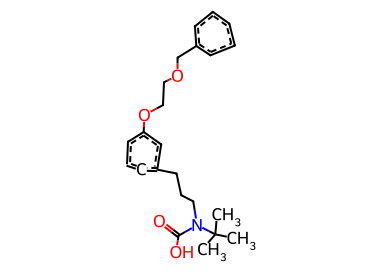 CC(C)(C)N(CCCc1cccc(OCCOCc2ccccc2)c1)C(=O)O